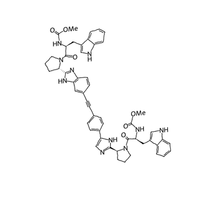 COC(=O)N[C@@H](Cc1c[nH]c2ccccc12)C(=O)N1CCC[C@H]1c1ncc(-c2ccc(C#Cc3ccc4nc([C@@H]5CCCN5C(=O)[C@H](Cc5c[nH]c6ccccc56)NC(=O)OC)[nH]c4c3)cc2)[nH]1